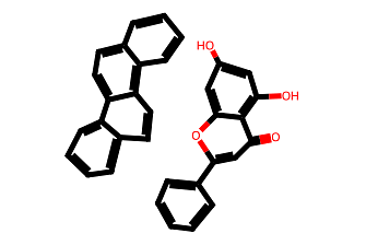 O=c1cc(-c2ccccc2)oc2cc(O)cc(O)c12.c1ccc2c(c1)ccc1c3ccccc3ccc21